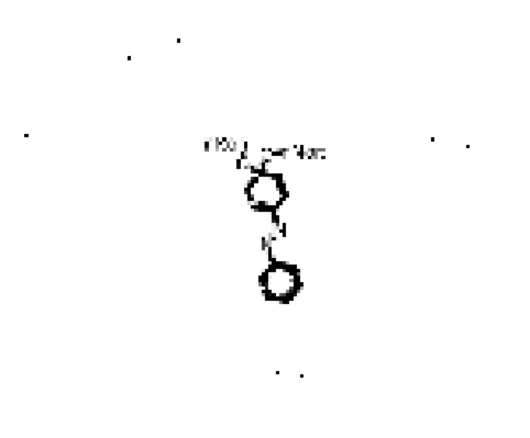 CCCCCCCCCOC1(OCCCCCCCCC)C=CC(N=Nc2ccccc2)=CC1